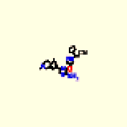 Cc1cc(-c2cnc(N)c(Oc3cnn(C(CC#N)C4CCCC4)c3)n2)cc2c1CCN(C)C2